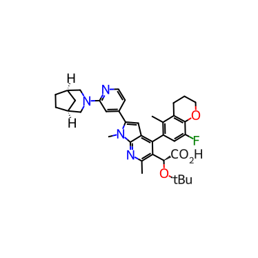 Cc1nc2c(cc(-c3ccnc(N4C[C@@H]5CC[C@@H](C5)C4)c3)n2C)c(-c2cc(F)c3c(c2C)CCCO3)c1[C@H](OC(C)(C)C)C(=O)O